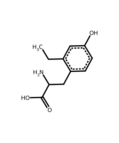 CCc1cc(O)ccc1CC(N)C(=O)O